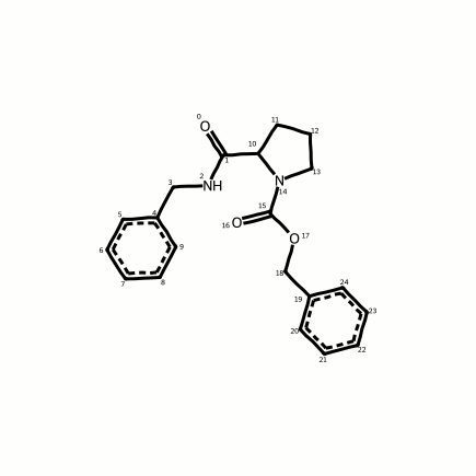 O=C(NCc1ccccc1)C1CCCN1C(=O)OCc1ccccc1